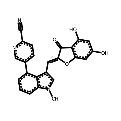 Cn1cc(/C=C2\Oc3cc(O)cc(O)c3C2=O)c2c(-c3ccc(C#N)nc3)cccc21